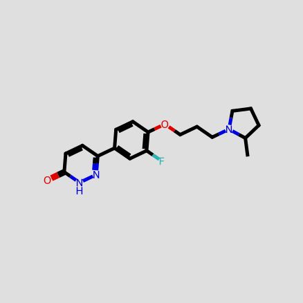 CC1CCCN1CCCOc1ccc(-c2ccc(=O)[nH]n2)cc1F